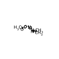 CCC(=O)[C@H]1CC[C@@H](CN2CCC(n3cc(C(C)C)cn3)CC2)CC1